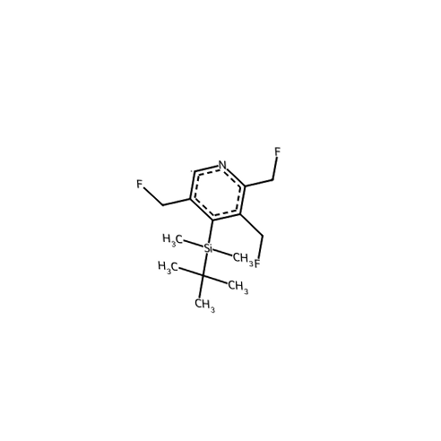 CC(C)(C)[Si](C)(C)c1c(CF)[c]nc(CF)c1CF